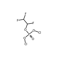 O=P(OCl)(OCl)OC(F)C(F)F